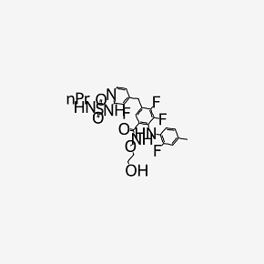 CCCNS(=O)(=O)Nc1nccc(Cc2cc(C(=O)NOCCO)c(Nc3ccc(C)cc3F)c(F)c2F)c1F